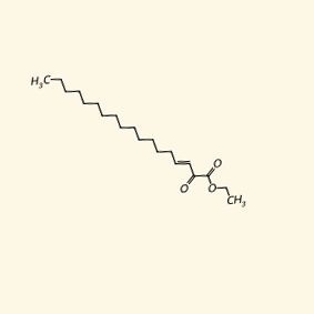 CCCCCCCCCCCCCCC=CC(=O)C(=O)OCC